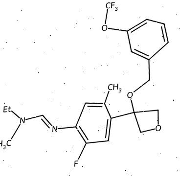 CCN(C)C=Nc1cc(C)c(C2(OCc3cccc(OC(F)(F)F)c3)COC2)cc1F